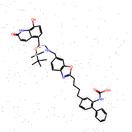 CC(C)(C)[Si](C)(C)O[C@@H](CNCc1ccc2nc(CCCCc3ccc(-c4ccccc4)c(NC(=O)O)c3)oc2c1)c1ccc(O)c2[nH]c(=O)ccc12